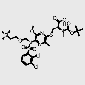 COc1nc(SC[C@H](NC(=O)OC(C)(C)C)C(=O)O)c(C)nc1N(COCC[Si](C)(C)C)S(=O)(=O)c1cccc(Cl)c1Cl